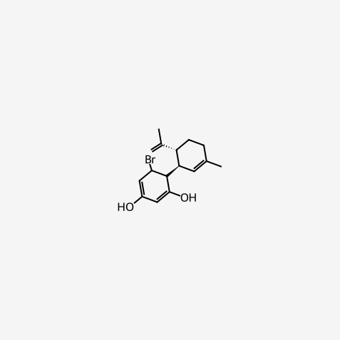 C=C(C)[C@@H]1CCC(C)=C[C@H]1C1C(O)=CC(O)=CC1Br